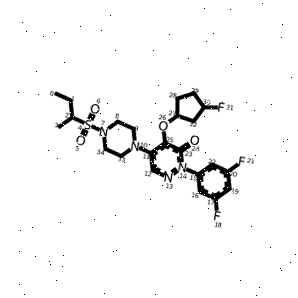 CCC(C)S(=O)(=O)N1CCN(c2cnn(-c3cc(F)cc(F)c3)c(=O)c2OC2CCC(F)C2)CC1